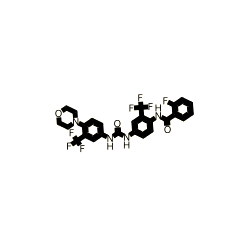 O=C(Nc1ccc(NC(=O)c2ccccc2F)c(C(F)(F)F)c1)Nc1ccc(N2CCOCC2)c(C(F)(F)F)c1